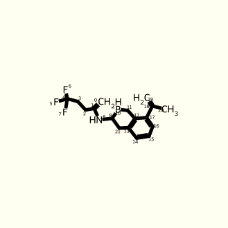 C=C(CCC(F)(F)F)NC1BCc2c(cccc2C(=C)C)C1